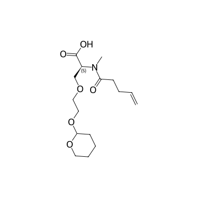 C=CCCC(=O)N(C)[C@@H](COCCOC1CCCCO1)C(=O)O